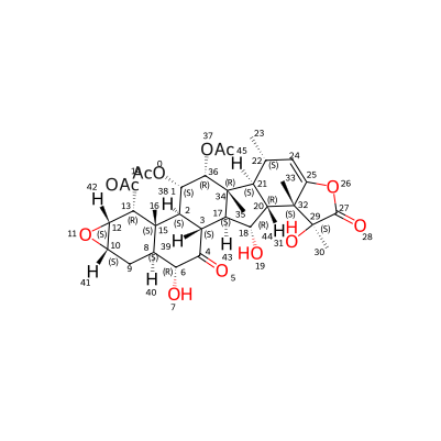 CC(=O)O[C@H]1[C@H]2[C@@H](C(=O)[C@H](O)[C@H]3C[C@@H]4O[C@@H]4[C@H](OC(C)=O)[C@]23C)[C@@H]2[C@@H](O)[C@@H]3[C@H]([C@H](C)C=C4OC(=O)[C@@](C)(O)[C@@]43C)[C@@]2(C)[C@H]1OC(C)=O